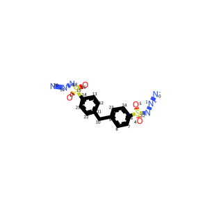 [N-]=[N+]=NS(=O)(=O)c1ccc(Cc2ccc(S(=O)(=O)N=[N+]=[N-])cc2)cc1